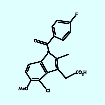 COc1ccc2c(c1Cl)c(CC(=O)O)c(C)n2C(=O)c1ccc(F)cc1